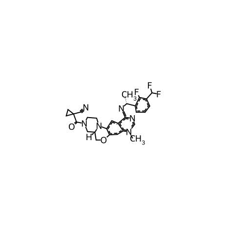 C[C@@H](/N=c1\ncn(C)c2cc3c(cc12)N1CCN(C(=O)C2(C#N)CC2)C[C@H]1CO3)c1cccc(C(F)F)c1F